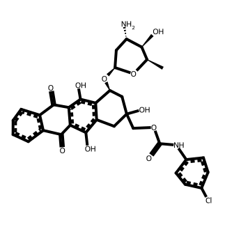 C[C@H]1O[C@@H](O[C@H]2CC(O)(COC(=O)Nc3ccc(Cl)cc3)Cc3c(O)c4c(c(O)c32)C(=O)c2ccccc2C4=O)C[C@H](N)[C@H]1O